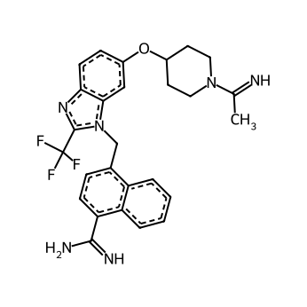 CC(=N)N1CCC(Oc2ccc3nc(C(F)(F)F)n(Cc4ccc(C(=N)N)c5ccccc45)c3c2)CC1